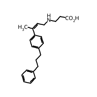 C/C(=C/CNCCC(=O)O)c1ccc(CCCc2ccccc2)cc1